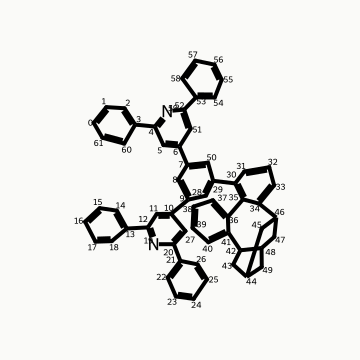 c1ccc(-c2cc(-c3cc(-c4cc(-c5ccccc5)nc(-c5ccccc5)c4)cc(-c4cccc5c4-c4ccccc4C4CC6CC5CC4C6)c3)cc(-c3ccccc3)n2)cc1